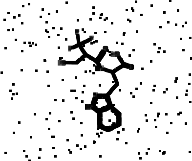 O=C(O)C(Cc1n[nH]c2ccccc12)NC(=O)C(CS)C(F)(F)F